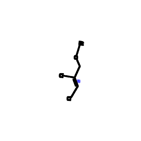 [CH2]COC/C(Cl)=C/Cl